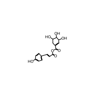 O=C(C=Cc1ccc(O)cc1)OC(=O)C1=CC(O)C(O)C(O)C1